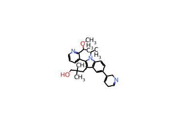 CCn1c(-c2cccnc2[C@H](C)OC)c(CC(C)(C)CO)c2cc(C3=CCC=NC3)ccc21